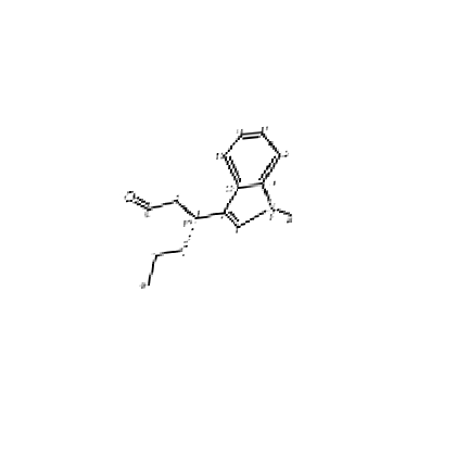 CCC[C@H](CC=O)c1cn(C)c2ccccc12